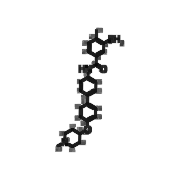 Bc1cc(C(=O)Nc2ccc(-c3ccc(OC4CCN(C)CC4)cc3)cc2)ccc1C